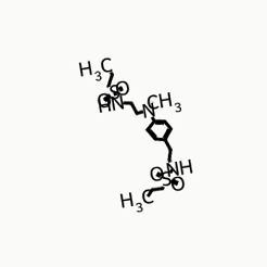 CCCS(=O)(=O)NCCc1ccc(N(C)CCNS(=O)(=O)CCC)cc1